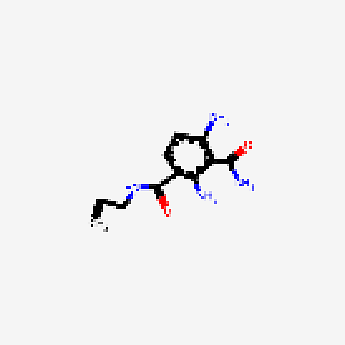 C=CCNC(=O)c1ccc(N)c(C(N)=O)c1N